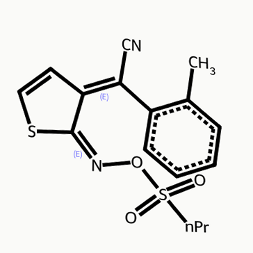 CCCS(=O)(=O)O/N=C1/SC=C/C1=C(\C#N)c1ccccc1C